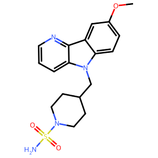 COc1ccc2c(c1)c1ncccc1n2CC1CCN(S(N)(=O)=O)CC1